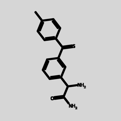 Cc1ccc(C(=S)c2cccc(C(N)C(N)=O)c2)cc1